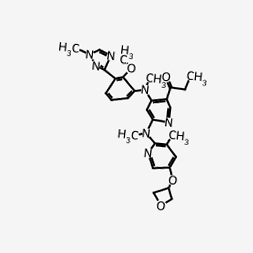 CCC(=O)c1cnc(N(C)c2ncc(OC3COC3)cc2C)cc1N(C)c1cccc(-c2ncn(C)n2)c1OC